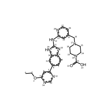 CCOc1cc(-c2ccc3nc(Nc4cc(CN5CCN(C(=O)O)CC5)ccn4)[nH]c3c2)ncn1